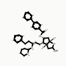 O=C(O[C@@H]1C[C@@H]2OC(O)C[C@@H]2[C@H]1CC[C@H](CCc1ccccc1)OC1CCCCO1)c1ccc(-c2ccccc2)cc1